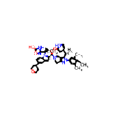 CCc1c(C)cc(-n2nc3c(c2[C@@H](C)C2C=CNC(=O)C2)CN(C(=O)[C@H]2CC4C=C(C5CCOCC5)C=CC4N2[C@@]2(C4=NOC(O)N4)C[C@@H]2C)CC3)cc1C